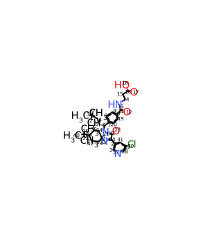 CC(C)(C)CC[C@H](c1ccc(C(=O)NCCC(=O)O)cc1)N1C(=O)C(c2cncc(Cl)c2)=NC12CCC(C(C)(C)C)CC2